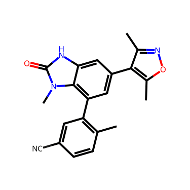 Cc1ccc(C#N)cc1-c1cc(-c2c(C)noc2C)cc2[nH]c(=O)n(C)c12